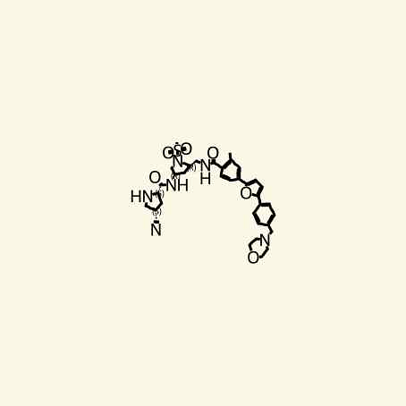 Cc1cc(-c2ccc(-c3ccc(CN4CCOCC4)cc3)o2)ccc1C(=O)NC[C@H]1C[C@@H](NC(=O)[C@@H]2C[C@H](C#N)CN2)CN1S(C)(=O)=O